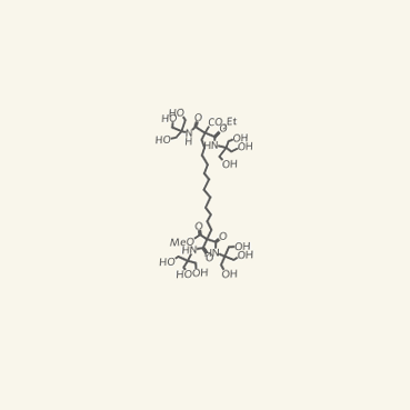 CCOC(=O)C(CCCCCCCCCCCCC(C(=O)NC(CO)(CO)CO)(C(=O)NC(CO)(CO)CO)C(=O)OC)(C(=O)NC(CO)(CO)CO)C(=O)NC(CO)(CO)CO